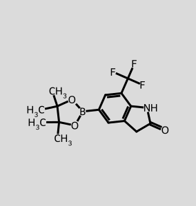 CC1(C)OB(c2cc3c(c(C(F)(F)F)c2)NC(=O)C3)OC1(C)C